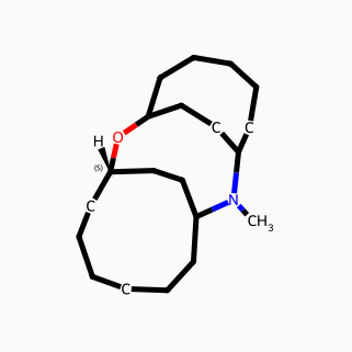 CN1C2CCCCCC(CC2)O[C@H]2CCCCCCC1CC2